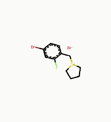 Fc1cc(Br)ccc1C[S+]1CCCC1.[Br-]